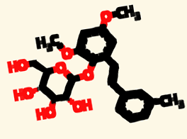 COc1cc(/C=C/c2cccc(C)c2)c(OC2O[C@H](CO)[C@@H](O)[C@H](O)[C@H]2O)c(OC)c1